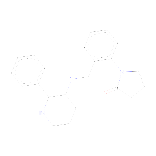 O=C1CCCN1c1ccccc1CNC1CCCNC1c1ccccc1